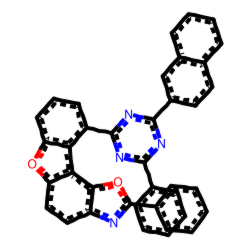 c1ccc(-c2nc(-c3ccc4ccccc4c3)nc(-c3cccc4oc5ccc6nc(-c7ccccc7)oc6c5c34)n2)cc1